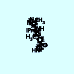 Cc1cc(-c2[nH]c3sc([C@H]4CC[C@H](C(=O)N5CCNCC5)CC4)c(C)c3c2C(C)C)cn2ncnc12